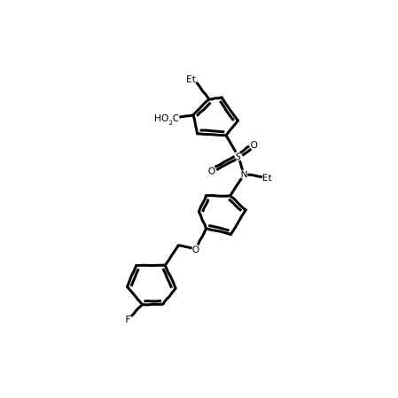 CCc1ccc(S(=O)(=O)N(CC)c2ccc(OCc3ccc(F)cc3)cc2)cc1C(=O)O